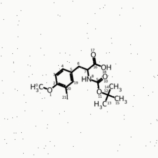 COc1ccc(CC(NC(=O)OC(C)(C)C)C(=O)O)cc1I